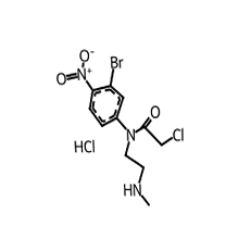 CNCCN(C(=O)CCl)c1ccc([N+](=O)[O-])c(Br)c1.Cl